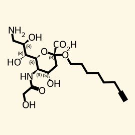 C#CCCCCCCO[C@]1(C(=O)O)C[C@H](O)[C@@H](NC(=O)CO)[C@H]([C@H](O)[C@H](O)CN)O1